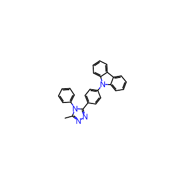 Cc1nnc(-c2ccc(-n3c4ccccc4c4ccccc43)cc2)n1-c1ccccc1